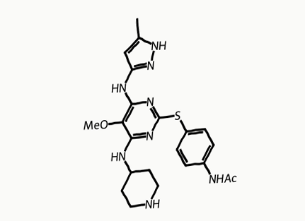 COc1c(Nc2cc(C)[nH]n2)nc(Sc2ccc(NC(C)=O)cc2)nc1NC1CCNCC1